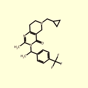 Cc1nc2c(c(=O)n1C(C)c1ccc(C(F)(F)F)cc1)CN(CC1CC1)CC2